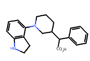 O=C(O)C(c1ccccc1)C1CCCN(c2cccc3c2CCN3)C1